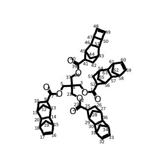 O=C(OCC(COC(=O)C1CC2CC1C1C3C=CC(C3)C21)(COC(=O)C1CC2CC1C1C3C=CC(C3)C21)COC(=O)C1CC2CC1C1C3C=CC3C21)C1CC2CC1C1C3C=CC(C3)C21